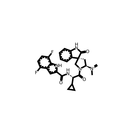 C=[N+](C)[C@@H]1C[C@@]2(CN1C(=O)[C@@H](NC(=O)c1cc3c(F)ccc(F)c3[nH]1)C1CC1)C(=O)Nc1ccccc12